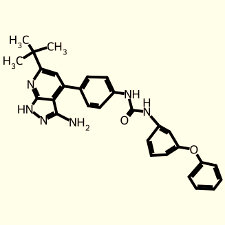 CC(C)(C)c1cc(-c2ccc(NC(=O)Nc3cccc(Oc4ccccc4)c3)cc2)c2c(N)n[nH]c2n1